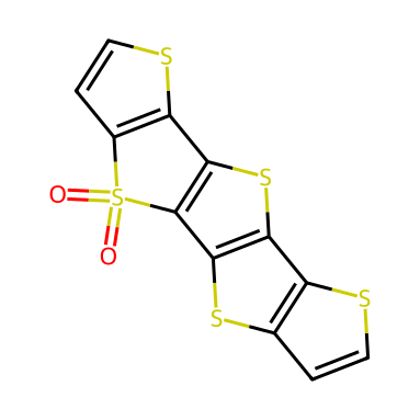 O=S1(=O)c2ccsc2-c2sc3c(sc4ccsc43)c21